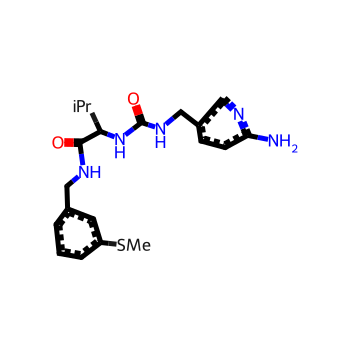 CSc1cccc(CNC(=O)C(NC(=O)NCc2ccc(N)nc2)C(C)C)c1